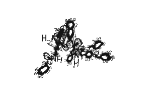 C[C@@H](CC1(C(=O)NC(Cc2ccc(OCc3ccccc3)cc2)C(=O)OCc2ccccc2)CCCC1)C(=O)O[C@H]1Cc2ccccc2C1N(C(=O)[C@@H](N)CCCCNC(=O)OCc1ccccc1)S(C)(=O)=O